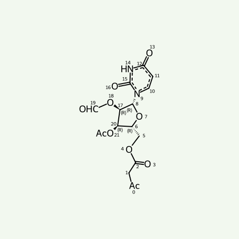 CC(=O)CC(=O)OC[C@H]1O[C@@H](n2ccc(=O)[nH]c2=O)[C@H](OC=O)[C@@H]1OC(C)=O